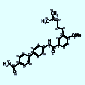 COc1ccc(C(=O)Nc2ccc(-c3ccc(C(N)=O)cc3)cc2)cc1CCCN(C)C